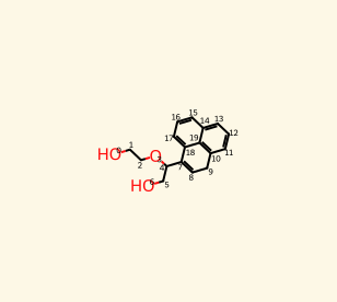 OCCOC(CO)C1=CCc2cccc3cccc1c23